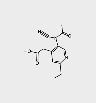 CCc1cc(CC(=O)O)c(N(C#N)C(C)=O)cn1